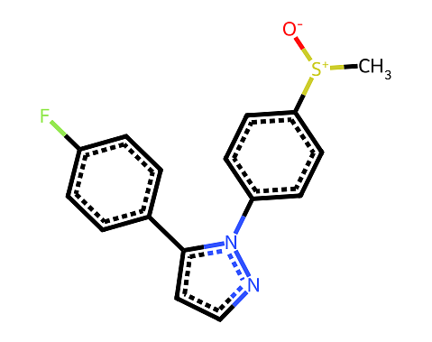 C[S+]([O-])c1ccc(-n2nccc2-c2ccc(F)cc2)cc1